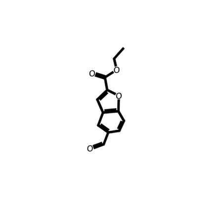 CCOC(=O)c1cc2cc(C=O)ccc2o1